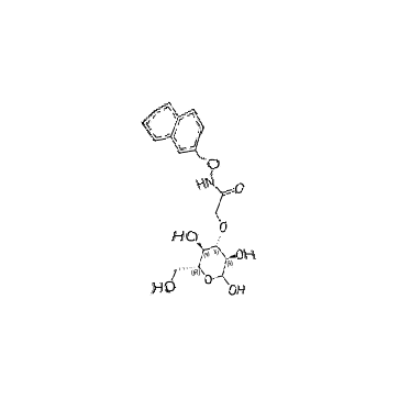 O=C(CO[C@H]1[C@H](O)[C@@H](CO)OC(O)[C@@H]1O)NOc1ccc2ccccc2c1